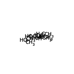 CC(C)(O)CCCC(CO)[C@H]1CC[C@H]2[C@@H](O[Si](C)(C)C(C)(C)C)CCC[C@]12C